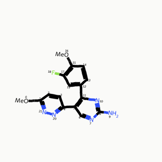 COc1ccc(-c2cnc(N)nc2-c2ccc(OC)c(F)c2)nn1